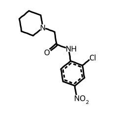 O=C(CN1CCCCC1)Nc1ccc([N+](=O)[O-])cc1Cl